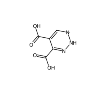 O=C(O)C1=C[N]NN=C1C(=O)O